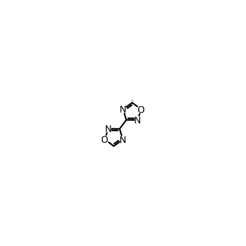 [c]1nc(-c2ncon2)no1